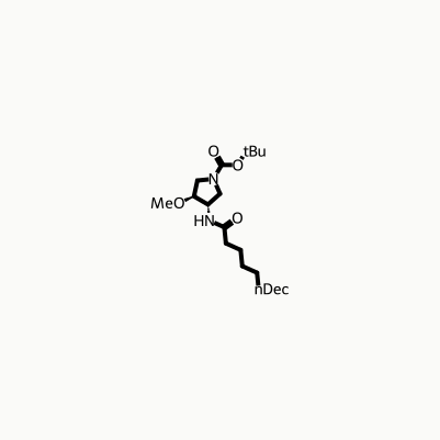 CCCCCCCCCCCCCCC(=O)N[C@H]1CN(C(=O)OC(C)(C)C)C[C@@H]1OC